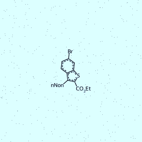 CCCCCCCCCc1c(C(=O)OCC)sc2cc(Br)ccc12